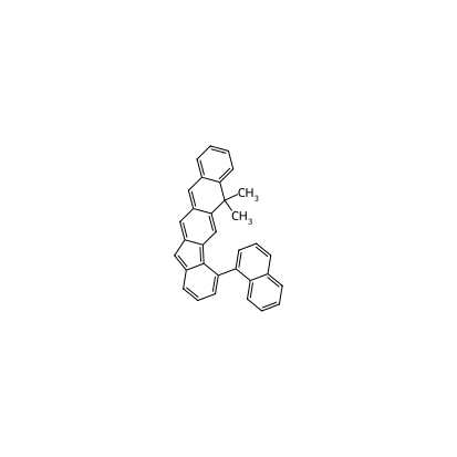 CC1(C)c2ccccc2C=c2cc3c(cc21)=c1c(-c2cccc4ccccc24)cccc1=C3